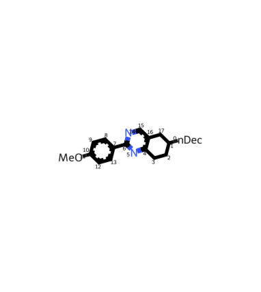 CCCCCCCCCCC1CCc2nc(-c3ccc(OC)cc3)ncc2C1